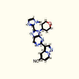 Cn1ccnc1-c1nc2cnc(-c3cnn4ccc(C#N)cc34)nc2n1C1CCOCC1